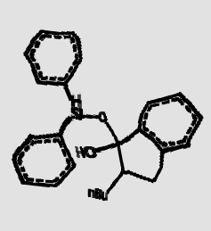 CCCCC1Cc2ccccc2C1(O)O[SiH](c1ccccc1)c1ccccc1